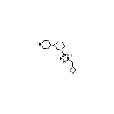 C1CC(Cc2nnc(C3CCCN(C4CCNCC4)C3)[nH]2)C1